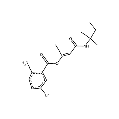 CCC(C)(C)NC(=O)/C=C(\C)OC(=O)c1cc(Br)ccc1N